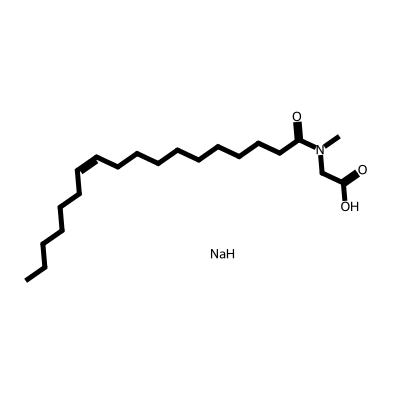 CCCCCC/C=C\CCCCCCCCCC(=O)N(C)CC(=O)O.[NaH]